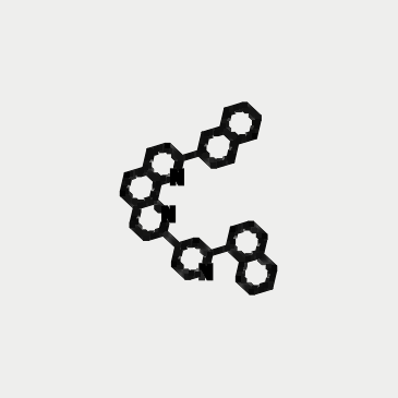 c1ccc2cc(-c3ccc4ccc5ccc(-c6ccnc(-c7cccc8ccccc78)c6)nc5c4n3)ccc2c1